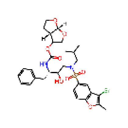 Cc1oc2ccc(S(=O)(=O)N(CC(C)C)C[C@@H](O)[C@H](Cc3ccccc3)NC(=O)OC3CO[C@H]4OCC[C@@H]34)cc2c1Br